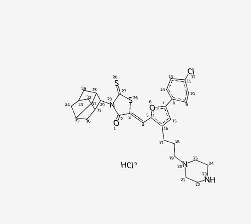 Cl.O=C1/C(=C/c2oc(-c3ccc(Cl)cc3)cc2CCCN2CCNCC2)SC(=S)N1C1C2CC3CC(C2)CC1C3